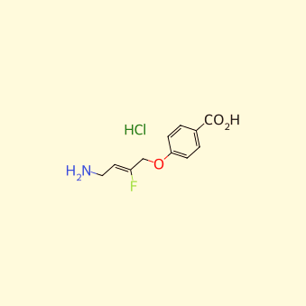 Cl.NCC=C(F)COc1ccc(C(=O)O)cc1